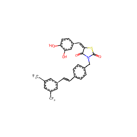 O=C1SC(=Cc2ccc(O)c(O)c2)C(=O)N1Cc1ccc(C=Cc2cc(C(F)(F)F)cc(C(F)(F)F)c2)cc1